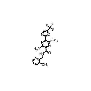 Cc1cccnc1CNC(=O)c1nc(C)c(-c2ncc(C(F)(F)F)o2)nc1N